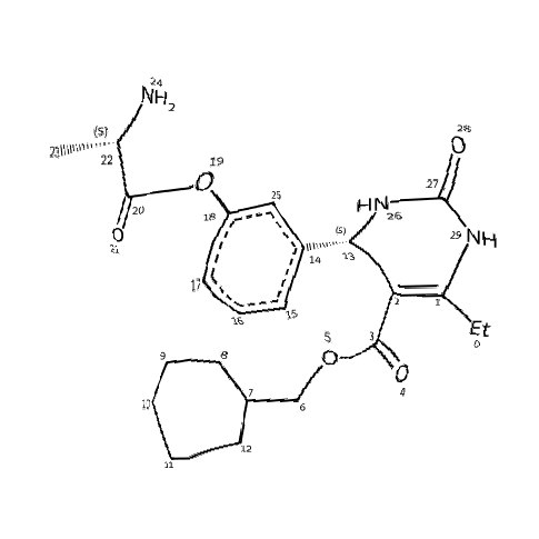 CCC1=C(C(=O)OCC2CCCCC2)[C@H](c2cccc(OC(=O)[C@H](C)N)c2)NC(=O)N1